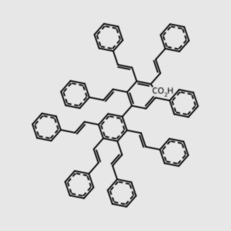 O=C(O)C(C=Cc1ccccc1)=C(C=Cc1ccccc1)C(C=Cc1ccccc1)=C(C=Cc1ccccc1)c1cc(C=Cc2ccccc2)c(C=Cc2ccccc2)c(C=Cc2ccccc2)c1C=Cc1ccccc1